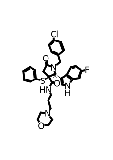 O=C1C[C@@](Sc2ccccc2)(C(=O)NCCCN2CCOCC2)[C@@H](c2c[nH]c3cc(F)ccc23)N1Cc1ccc(Cl)cc1